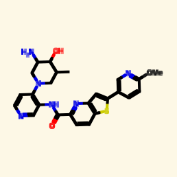 COc1ccc(-c2cc3nc(C(=O)Nc4cnccc4N4CC(C)C(O)C(N)C4)ccc3s2)cn1